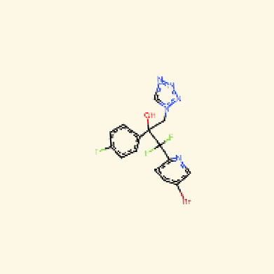 OC(Cn1cnnn1)(c1ccc(F)cc1)C(F)(F)c1ccc(Br)cn1